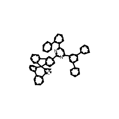 c1ccc(-c2cc(-c3ccccc3)cc(-c3cc(-c4ccccc4-c4ccccc4)nc(-c4ccc5c(c4)-c4ccccc4C54c5ccccc5-c5ccccc5-c5ccccc54)n3)c2)cc1